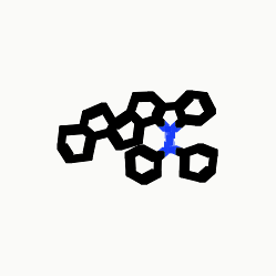 c1ccc(N(c2ccccc2)n2c3ccccc3c3ccc4c5ccc6ccccc6c5ccc4c32)cc1